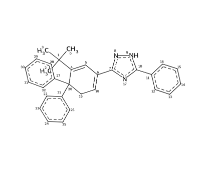 CC(C)(C)C1=CC(c2n[nH]c(-c3ccccc3)n2)=CCC1(c1ccccc1)c1ccccc1